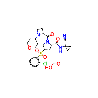 N#CC1(NC(=O)[C@@H]2C[C@@H](S(=O)(=O)c3ccccc3Cl)CN2C(=O)C2CCN2C2CCOCC2)CC1.O=CO